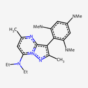 CCN(CC)c1cc(C)nc2c(-c3c(NC)cc(NC)cc3NC)c(C)nn12